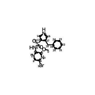 COc1nc(Br)cnc1NS(=O)(=O)c1c[nH]cc1Cc1ccccc1